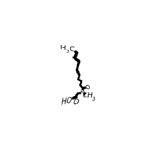 CCCCCCCCCC(=O)N(C)CC(=O)O